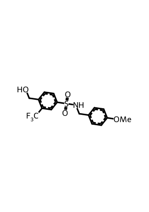 COc1ccc(CNS(=O)(=O)c2ccc(CO)c(C(F)(F)F)c2)cc1